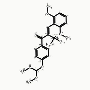 COc1cccc(OC)c1C=C(C(=O)c1ccc(OC(OC)OC)cc1)C(C)(C)C